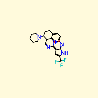 FC(F)(F)c1cc2c(/N=C\C3c4ccccc4CC[C@@H]3N3CCCCC3)ncnc2[nH]1